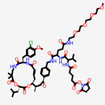 COCCOCCOCCOCCNC(=O)CCC(NC(=O)C(NC(=O)CCCC(=O)ON1C(=O)CCC1=O)C(C)C)C(=O)NCc1ccc([C@H]2O[C@@H]2[C@@H](C)[C@@H]2C/C=C/C(=O)N[C@H](Cc3ccc(OC)c(Cl)c3)C(=O)NCC(C)(C)C(=O)O[C@@H](CC(C)C)C(=O)O2)cc1